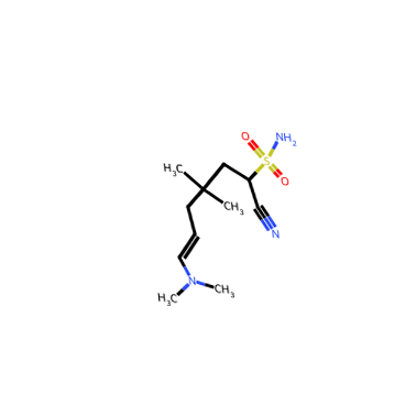 CN(C)C=CCC(C)(C)CC(C#N)S(N)(=O)=O